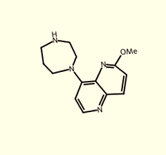 COc1ccc2nccc(N3CCCNCC3)c2n1